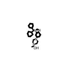 CC(O)N1CCN(c2ccc3ncn(C(c4ccccc4)c4ccccc4)c3c2)CC1